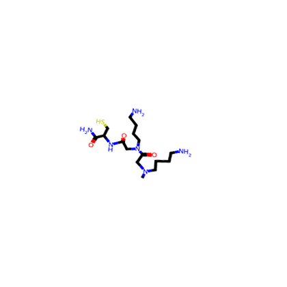 CN(CCCCN)CC(=O)N(CCCCN)CC(=O)NC(CS)C(N)=O